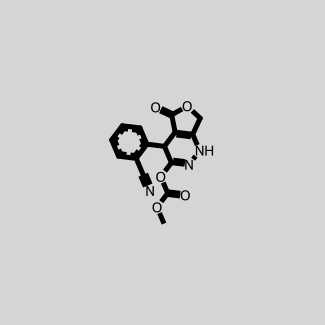 COC(=O)OC1=NNC2=C(C(=O)OC2)C1c1ccccc1C#N